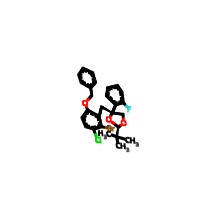 CC(C)(C)[C@@H]1OC[C@@](Cc2c(OCc3ccccc3)ccc(Cl)c2Br)(c2ccccc2F)O1